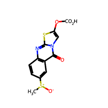 C[S+]([O-])c1ccc2nc3sc(OC(=O)O)cn3c(=O)c2c1